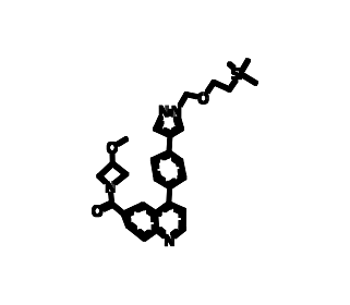 COC1CN(C(=O)c2ccc3nccc(-c4ccc(-c5cnn(COCC[Si](C)(C)C)c5)cc4)c3c2)C1